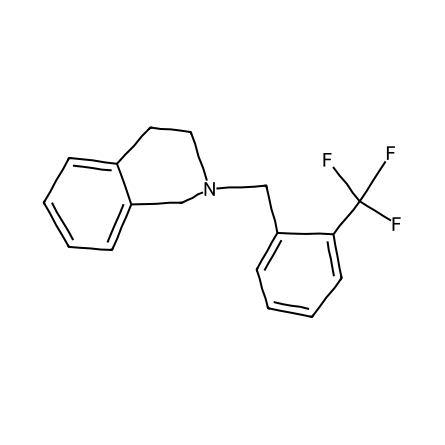 FC(F)(F)c1ccccc1CN1CCc2ccccc2C1